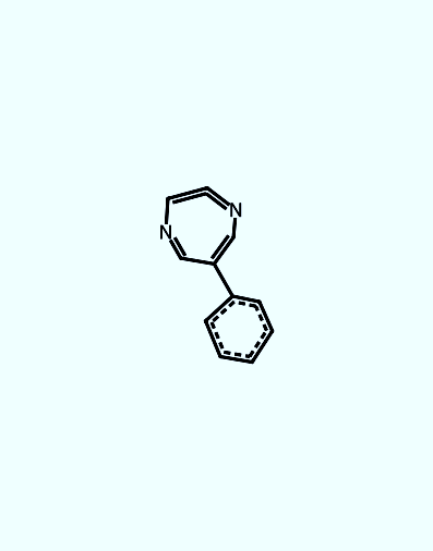 C1=CN=CC(c2ccccc2)=CN=1